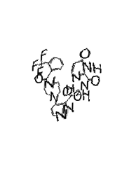 NC(=O)c1nccc(=O)[nH]1.O=C(O)c1nnccc1N1CCN(C(=O)c2ccccc2C(F)(F)F)CC1